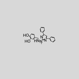 CN(NCc1ccc(O)c(O)c1)c1nc(-c2ccccc2)cc(-c2ccccc2)n1